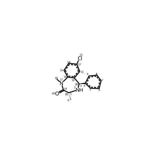 C[C@H]1N[C@H](c2ccccc2)c2cc(Cl)ccc2N(C)C1=O